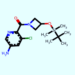 CC(C)(C)[Si](C)(C)OC1CN(C(=O)c2ncc(N)cc2Cl)C1